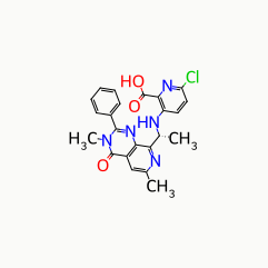 Cc1cc2c(=O)n(C)c(-c3ccccc3)nc2c([C@@H](C)Nc2ccc(Cl)nc2C(=O)O)n1